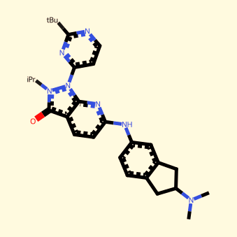 CC(C)n1c(=O)c2ccc(Nc3ccc4c(c3)CC(N(C)C)C4)nc2n1-c1ccnc(C(C)(C)C)n1